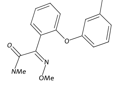 CNC(=O)/C(=N\OC)c1ccccc1Oc1cccc(C)c1